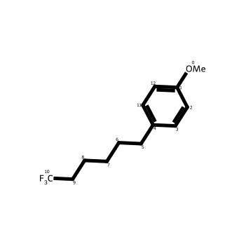 COc1ccc(CCCCCC(F)(F)F)cc1